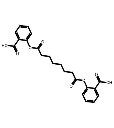 O=C(CCCCCCC(=O)Oc1ccccc1C(=O)O)Oc1ccccc1C(=O)O